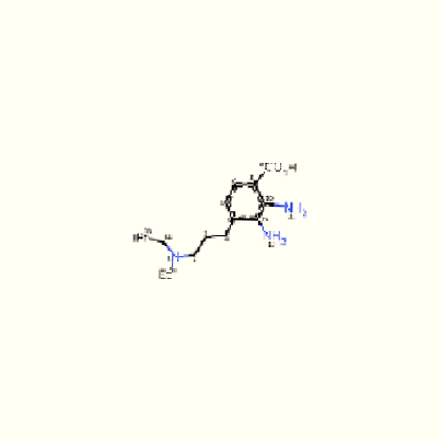 CCN(CCCc1ccc(C(=O)O)c(N)c1N)CC(C)C